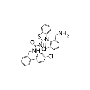 NCc1cccc(Cl)c1N1c2ccccc2SC1NC(=O)NCc1ccccc1-c1ccc(Cl)cc1